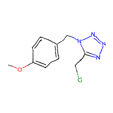 COc1ccc(Cn2nnnc2CCl)cc1